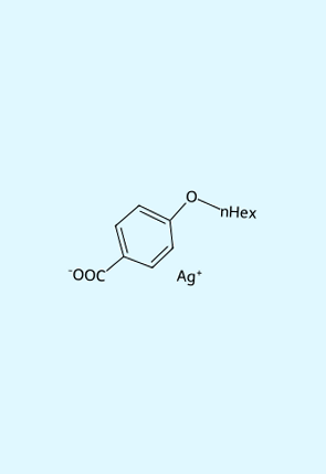 CCCCCCOc1ccc(C(=O)[O-])cc1.[Ag+]